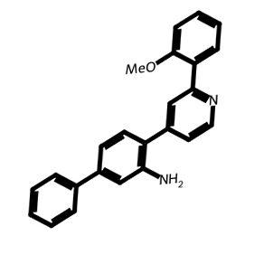 COc1ccccc1-c1cc(-c2ccc(-c3ccccc3)cc2N)ccn1